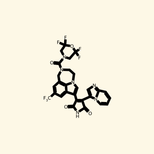 O=C1NC(=O)C(c2cnc3ccccn23)=C1c1cn2c3c(cc(C(F)(F)F)cc13)CN(C(=O)N1CC(F)(F)OC(F)(F)C1)CC2